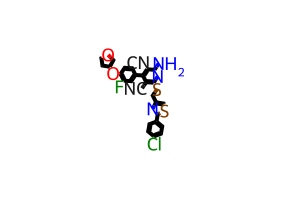 [C-]#[N+]c1c(N)nc(SCc2csc(-c3ccc(Cl)cc3)n2)c(C#N)c1-c1ccc(OC2CCOC2)c(F)c1